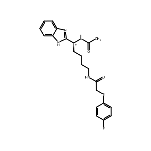 CC(=O)N[C@@H](CCCCNC(=O)CSc1ccc(F)cc1)c1nc2ccccc2[nH]1